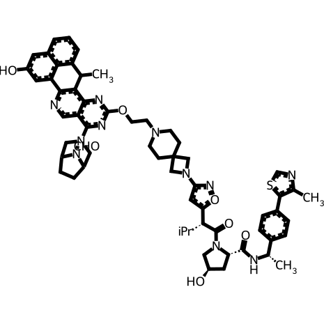 Cc1ncsc1-c1ccc([C@H](C)NC(=O)[C@@H]2C[C@@H](O)CN2C(=O)[C@@H](c2cc(N3CC4(CCN(CCOc5nc(N6CC7CCC(C6)N7C=O)c6cnc7c(c6n5)C(C)c5cccc6cc(O)cc-7c56)CC4)C3)no2)C(C)C)cc1